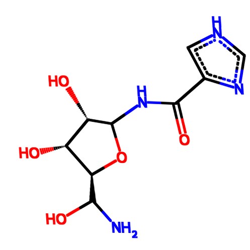 NC(O)[C@@H]1OC(NC(=O)c2c[nH]cn2)[C@@H](O)[C@H]1O